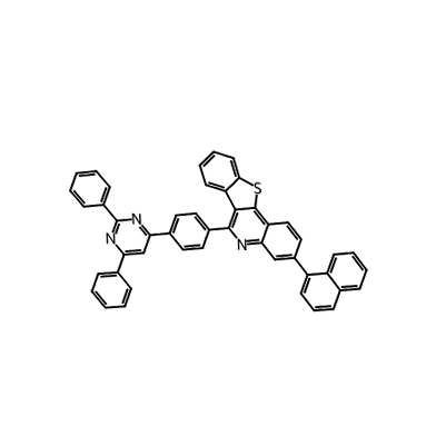 c1ccc(-c2cc(-c3ccc(-c4nc5cc(-c6cccc7ccccc67)ccc5c5sc6ccccc6c45)cc3)nc(-c3ccccc3)n2)cc1